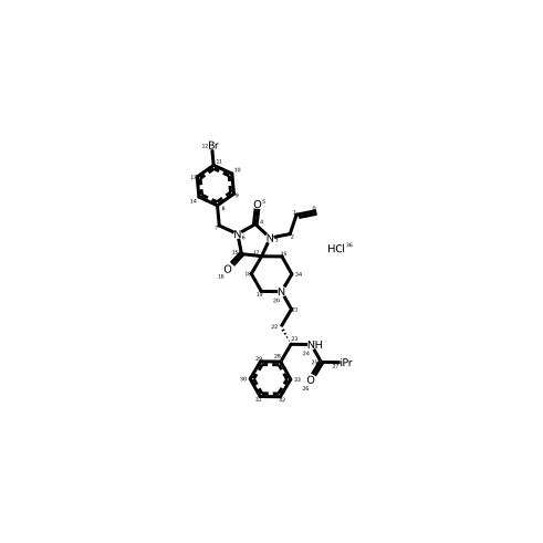 C=CCN1C(=O)N(Cc2ccc(Br)cc2)C(=O)C12CCN(CC[C@H](NC(=O)C(C)C)c1ccccc1)CC2.Cl